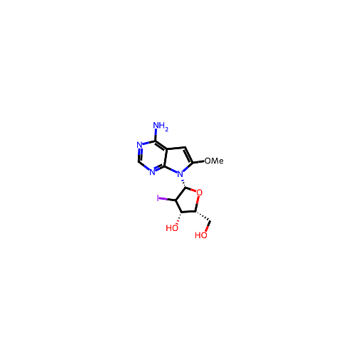 COc1cc2c(N)ncnc2n1[C@@H]1O[C@H](CO)[C@H](O)C1I